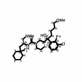 CNC[C@H](CC1(F)CCCCC1)NC(=O)N1CCC[C@@H]([C@@](O)(CCCCOC)c2cccc(Cl)c2F)C1